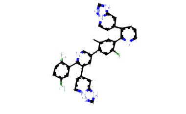 Cc1cc(-c2ncccc2-c2ccn3ncnc3c2)c(F)cc1-c1cnc(-c2cc(Cl)ccc2F)c(-c2ccn3ncnc3c2)c1